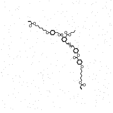 C=CC(=O)OCCCCCCOc1ccc(COOc2ccc(/C=N/N=C/c3ccc(OC(=O)c4ccc(OCCCCCCOC(=O)C=C)cc4)cc3)cc2C(=O)OCCC)cc1